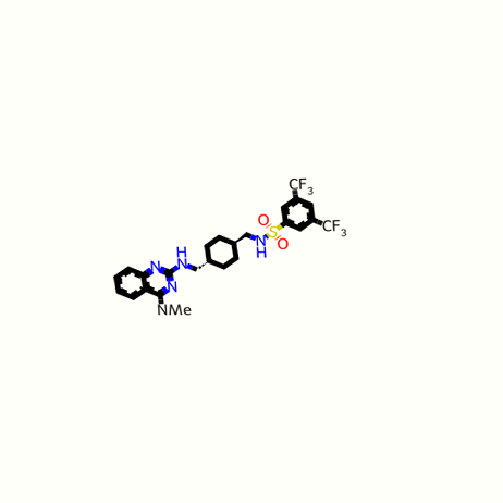 CNc1nc(NC[C@H]2CC[C@H](CNS(=O)(=O)c3cc(C(F)(F)F)cc(C(F)(F)F)c3)CC2)nc2ccccc12